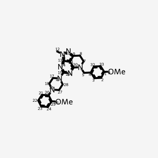 COc1ccc(CN2CCc3nn(C)c4nc(N5CCN(c6ccccc6OC)CC5)nc2c34)cc1